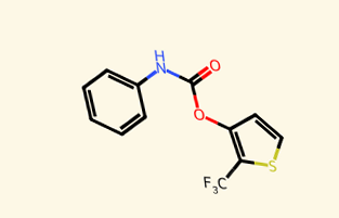 O=C(Nc1ccccc1)Oc1ccsc1C(F)(F)F